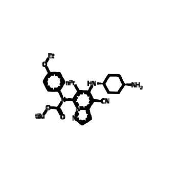 CCCc1c(N[C@H]2CC[C@H](N)CC2)c(C#N)c2ccnn2c1N(C(=O)OC(C)(C)C)c1ccc(OCC)cc1